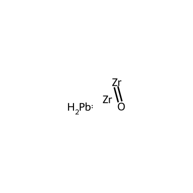 [O]=[Zr].[PbH2].[Zr]